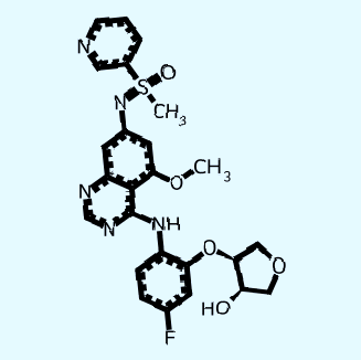 COc1cc(N=S(C)(=O)c2cccnc2)cc2ncnc(Nc3ccc(F)cc3O[C@H]3COC[C@H]3O)c12